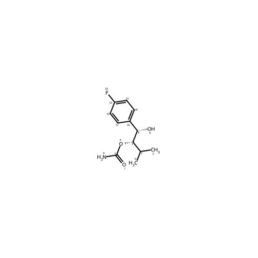 CC(C)[C@H](OC(N)=O)[C@@H](O)c1ccc(F)cc1